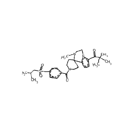 CC(C)CS(=O)(=O)c1ccc(C(=O)N2CCC3(CC2)c2ccc(C(=O)C(C)(C)C)n2CCN3C)cc1